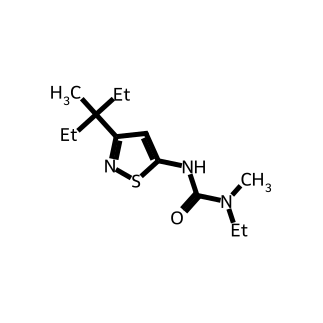 CCN(C)C(=O)Nc1cc(C(C)(CC)CC)ns1